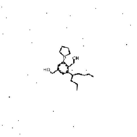 CCCCC(CCC)c1cc(CO)cc(N2CCCC2)c1CO